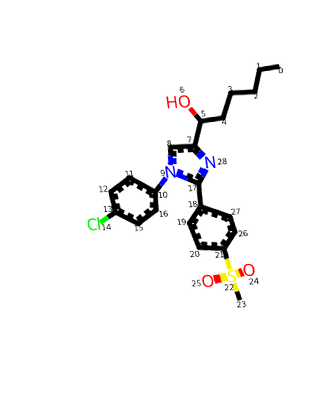 CCCCCC(O)c1cn(-c2ccc(Cl)cc2)c(-c2ccc(S(C)(=O)=O)cc2)n1